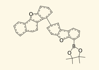 CC1(C)OB(c2cccc3c2oc2ccc(-c4cccc5oc6c7ccccc7ccc6c45)cc23)OC1(C)C